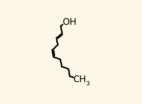 CCCCC/C=C\C/C=C/CO